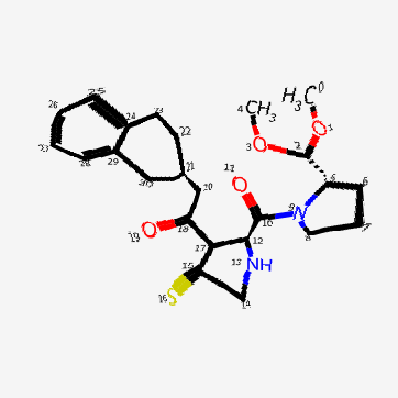 COC(OC)[C@@H]1CCCN1C(=O)[C@H]1NCC(=S)C1C(=O)C[C@@H]1CCc2ccccc2C1